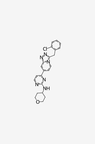 Clc1ccccc1Cc1nnc2cc(-c3ccnc(NC4CCOCC4)n3)ccn12